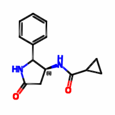 O=C1C[C@H](NC(=O)C2CC2)C(c2ccccc2)N1